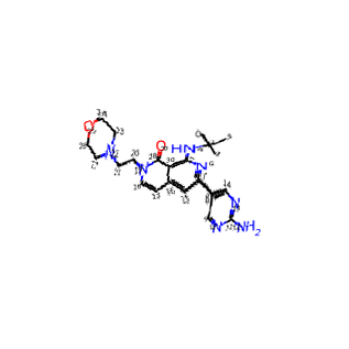 CC(C)(C)Nc1nc(-c2cnc(N)nc2)cc2ccn(CCN3CCOCC3)c(=O)c12